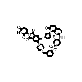 O=C1CCC(N2C(=O)c3cc(F)c(N4CCN(Cc5cccc(S(=O)(=O)N6CC[C@H](Nc7ncc8ccc(=O)n(C9CCCC9)c8n7)[C@H](F)C6)c5)CC4)cc3C2=O)C(=O)N1